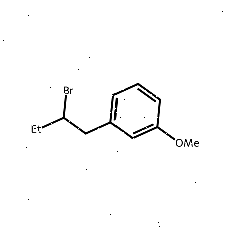 CCC(Br)Cc1cccc(OC)c1